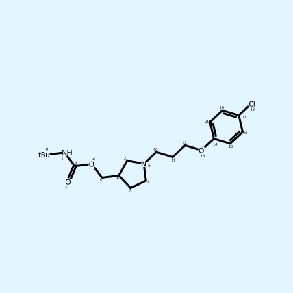 CC(C)(C)NC(=O)OCC1CCN(CCCOc2ccc(Cl)cc2)C1